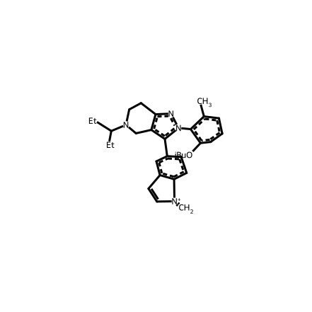 C=[N+]1C=Cc2cc(-c3c4c(nn3-c3c(C)cccc3OCC(C)C)CCN(C(CC)CC)C4)ccc21